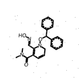 CN(C)C(=O)C1=C(C=NO)N(OC(c2ccccc2)c2ccccc2)CC=C1